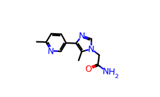 Cc1ccc(-c2ncn(CC(N)=O)c2C)cn1